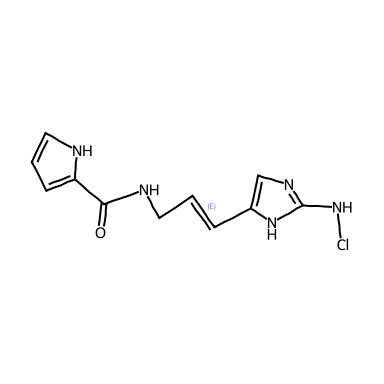 O=C(NC/C=C/c1cnc(NCl)[nH]1)c1ccc[nH]1